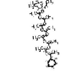 CO[Si](OC)(OC)OC(C)OC(C)OC(C)OC(C)OC(C)OC(C)OC(C)OC(C)c1ccccc1